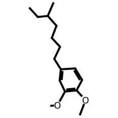 CCC(C)CCCCc1ccc(OC)c(OC)c1